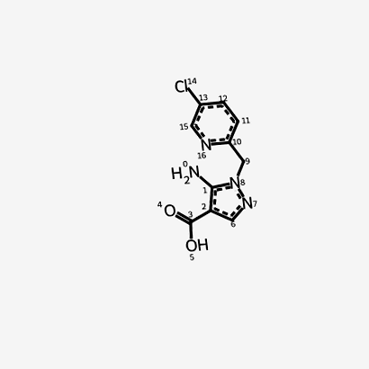 Nc1c(C(=O)O)cnn1Cc1ccc(Cl)cn1